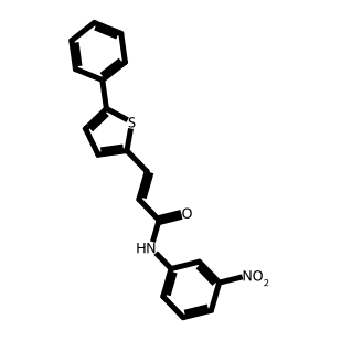 O=C(/C=C/c1ccc(-c2ccccc2)s1)Nc1cccc([N+](=O)[O-])c1